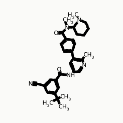 Cc1ncc(NC(=O)c2cc(C#N)cc(C(C)(C)C)c2)cc1-c1ccc(C(=O)N(C)C2CCCCN2C)cc1